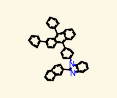 c1ccc(-c2ccc3c(-c4ccc(-n5c(-c6ccc7ccccc7c6)nc6ccccc65)cc4)c4ccccc4c(-c4ccccc4)c3c2)cc1